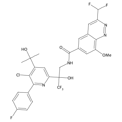 COc1cc(C(=O)NCC(O)(c2cc(C(C)(C)O)c(Cl)c(-c3ccc(F)cc3)n2)C(F)(F)F)cc2cc(C(F)F)nnc12